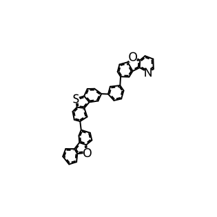 c1cc(-c2ccc3sc4ccc(-c5ccc6oc7ccccc7c6c5)cc4c3c2)cc(-c2ccc3oc4cccnc4c3c2)c1